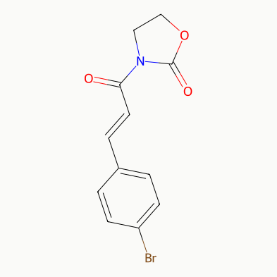 O=C(/C=C/c1ccc(Br)cc1)N1CCOC1=O